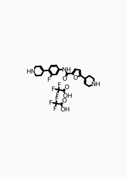 O=C(Nc1ccc(C2=CCNCC2)c(F)c1)c1ccc(C2=CCNCC2)o1.O=C(O)C(F)(F)F.O=C(O)C(F)(F)F